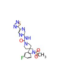 CS(=O)(=O)N1CC2(CCN(C(=O)Nc3cnc(-c4ncns4)cn3)CC2)c2cc(F)ccc21